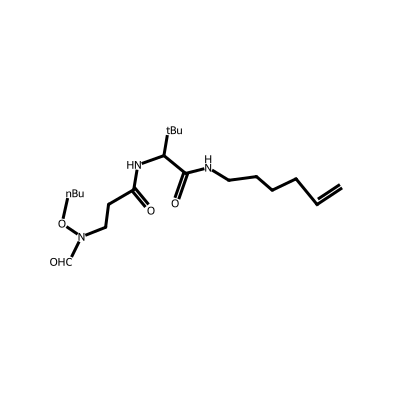 C=CCCCCNC(=O)C(NC(=O)CCN(C=O)OCCCC)C(C)(C)C